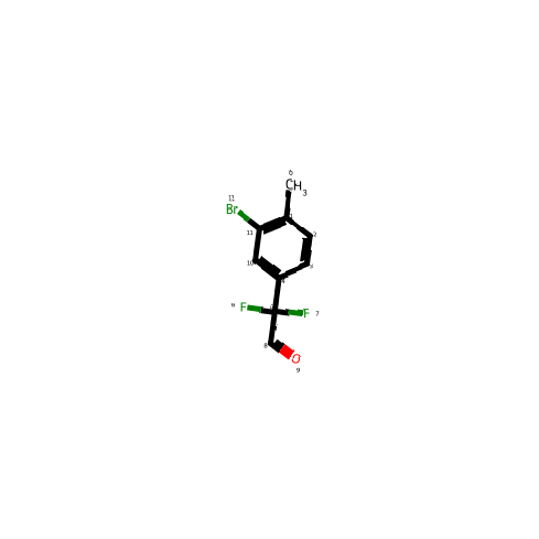 Cc1ccc(C(F)(F)C=O)cc1Br